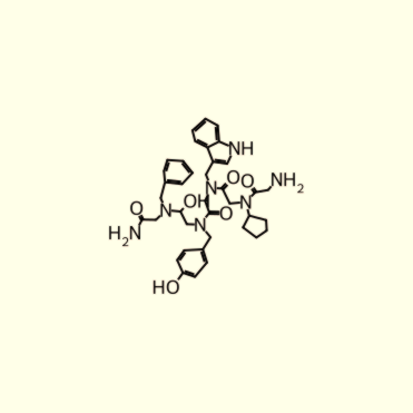 NCC(=O)N(CC(=O)N(CC(=O)N(Cc1ccc(O)cc1)CC(O)N(CC(N)=O)Cc1ccccc1)Cc1c[nH]c2ccccc12)C1CCCC1